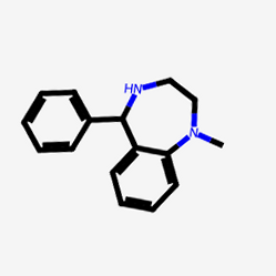 CN1CCNC(c2ccccc2)c2ccccc21